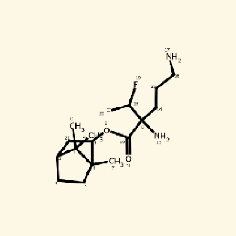 CC1(C)C2CCC1(C)C(OC(=O)C(N)(CCCN)C(F)F)C2